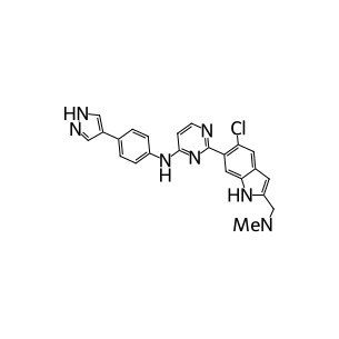 CNCc1cc2cc(Cl)c(-c3nccc(Nc4ccc(-c5cn[nH]c5)cc4)n3)cc2[nH]1